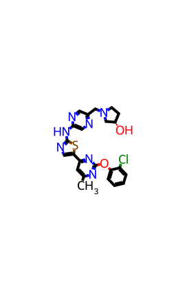 Cc1cc(-c2cnc(Nc3cnc(CN4CC[C@H](O)C4)cn3)s2)nc(Oc2ccccc2Cl)n1